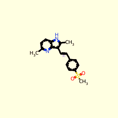 Cc1ccc2[nH]c(C)c(/C=C/c3ccc(S(C)(=O)=O)cc3)c2n1